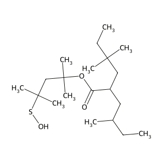 CCC(C)CC(CC(C)(C)CC)C(=O)OC(C)(C)CC(C)(C)SO